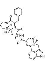 CN1C[C@H](C(=O)N[C@]2(C)OC3(O)[C@@H]4CCCN4C(=O)C(Cc4ccccc4)N3C2=O)C=C2c3cccc4[nH]cc(c34)C[C@H]21